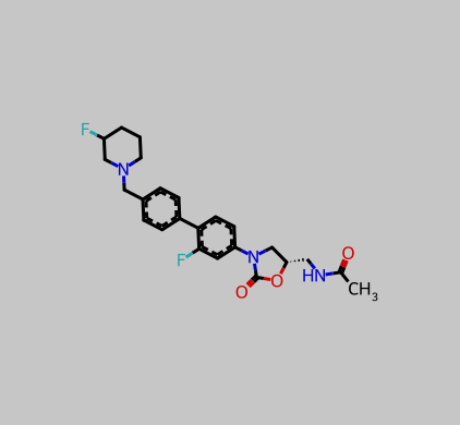 CC(=O)NC[C@H]1CN(c2ccc(-c3ccc(CN4CCCC(F)C4)cc3)c(F)c2)C(=O)O1